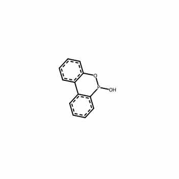 OP1Oc2ccccc2-c2ccccc21